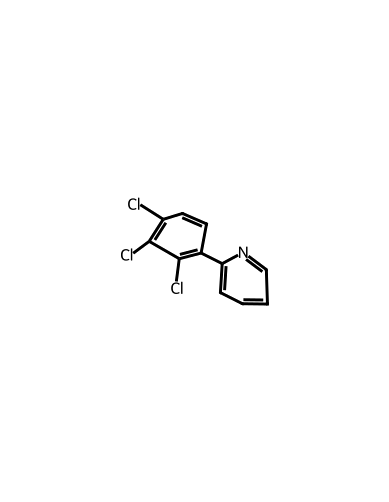 Clc1ccc(-c2ccccn2)c(Cl)c1Cl